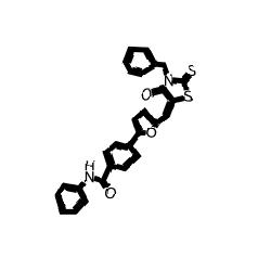 O=C(Nc1ccccc1)c1ccc(-c2ccc(/C=C3/SC(=S)N(Cc4ccccc4)C3=O)o2)cc1